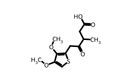 COc1csc(CC(=O)C(C)CC(=O)O)c1OC